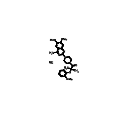 COc1cc2nc(N3CCN(C(=O)C(C)(C)Oc4ccccc4OC)CC3)nc(N)c2cc1OC.Cl